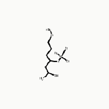 CCCCOCCCC(CC(C)O)O[Si](CC)(CC)CC